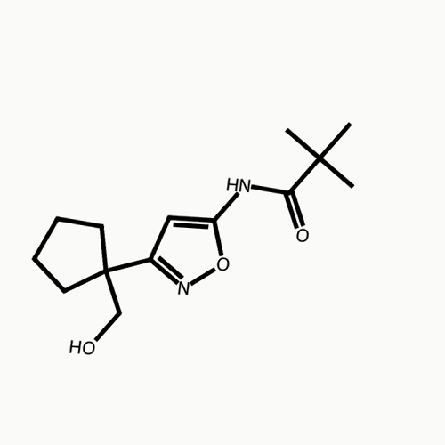 CC(C)(C)C(=O)Nc1cc(C2(CO)CCCC2)no1